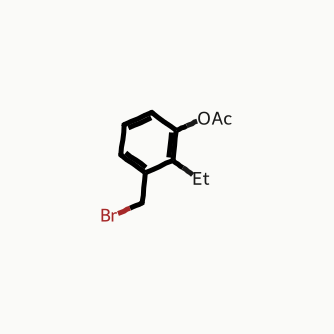 CCc1c(CBr)cccc1OC(C)=O